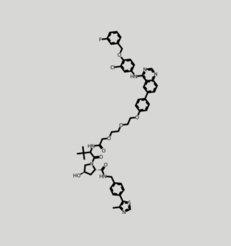 Cc1ncsc1-c1ccc(CNC(=O)[C@@H]2C[C@@H](O)CN2C(=O)C(NC(=O)COCCOCCOc2ccc(-c3ccc4ncnc(Nc5ccc(OCc6cccc(F)c6)c(Cl)c5)c4c3)cc2)C(C)(C)C)cc1